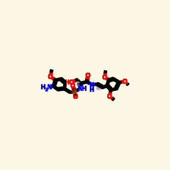 COc1cc(OC)c(/C=C/NC(=O)[C@@H](CO)NS(=O)(=O)Cc2ccc(OC)c(N)c2)c(OC)c1